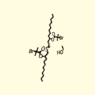 CCCCCCCCCC(CSSCC(CCCCCCCCC)OC(=O)C(C)(C)Br)OC(=O)C(C)(C)Br.CCO